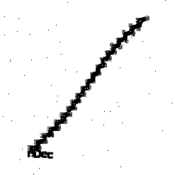 CC=CCCCCCCCCCCCCCCCCCCCCCCCCCCCCCCCCCCCCCCCCCCCCCCC